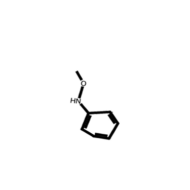 CONc1[c]cccc1